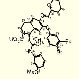 COc1cccc(NC(=O)C[C@]2(C)c3cc(Oc4ccc(Br)c(F)c4)c(OCC4CCCCO4)cc3CCN2C(=O)O)c1